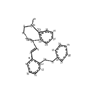 CN1CCN=C(C=Cc2ccccc2CCc2ccccc2)c2ccccc21